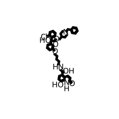 O=C(OCC1CCN(Cc2ccccc2)CC1)C(O)(c1cccc(OCCCCCNC[C@H](O)c2ccc(O)c3[nH]c(=O)ccc23)c1)c1ccccc1Cl